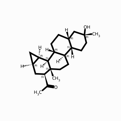 CC(=O)[C@H]1C[C@H]2C[C@H]2[C@H]2[C@@H]3CC[C@@H]4C[C@](C)(O)CC[C@@H]4[C@H]3CC[C@@]21C